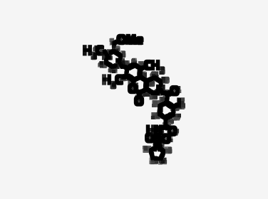 COC[C@H]1CN(c2cc(C)c3c4c(c(=O)oc3c2C)CN(C(=O)c2ccc(C(=O)NS(=O)(=O)N3CCCC3)cc2F)CC4)CCN1C